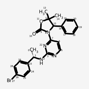 C[C@H](Nc1nccc(N2C(=O)OC(C)(C)C2c2ccccc2)n1)c1ccc(Br)cc1